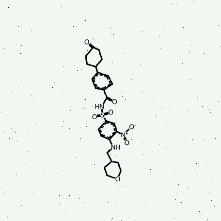 O=C1CCC(c2ccc(C(=O)NS(=O)(=O)c3ccc(NCC4CCOCC4)c([N+](=O)[O-])c3)cc2)CC1